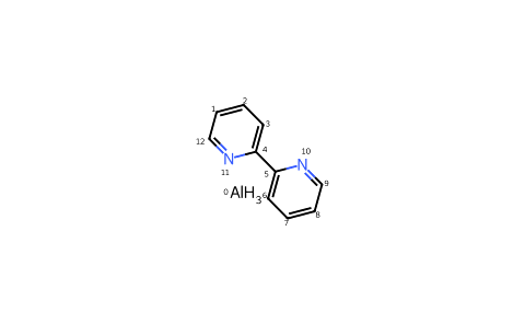 [AlH3].c1ccc(-c2ccccn2)nc1